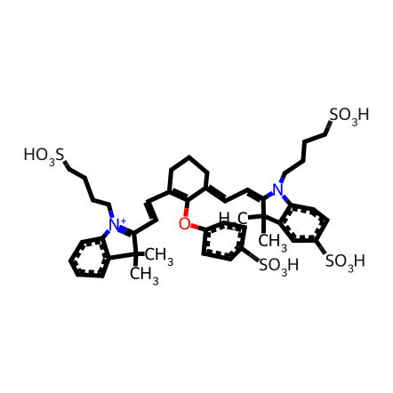 CC1(C)C(/C=C/C2=C(Oc3ccc(S(=O)(=O)O)cc3)C(=C/C=C3/N(CCCCS(=O)(=O)O)c4ccc(S(=O)(=O)O)cc4C3(C)C)/CCC2)=[N+](CCCCS(=O)(=O)O)c2ccccc21